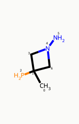 CC1(P)CN(N)C1